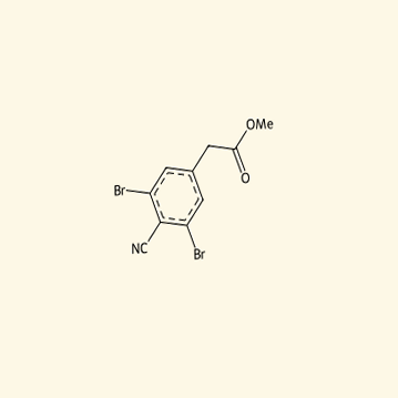 COC(=O)Cc1cc(Br)c(C#N)c(Br)c1